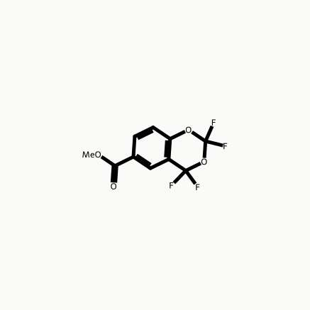 COC(=O)c1ccc2c(c1)C(F)(F)OC(F)(F)O2